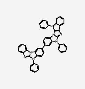 c1ccc(-n2c3ccc(-c4ccc5c(c4)n(-c4ccccc4)c4nc6c7ccccc7n(-c7ccccc7)c6n54)cc3n3c4ccccc4nc23)cc1